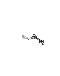 O=C(N1CC2(CC(Cc3ccc(F)c(F)c3)C2)C1)N1CC2(CC(n3cnc(C4CC4)n3)C2)C1